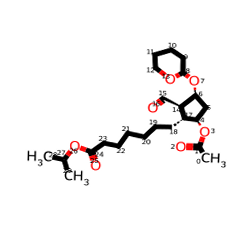 CC(=O)O[C@H]1C[C@@H](OC2CCCCO2)[C@H](C=O)[C@H]1CCCCCCC(=O)OC(C)C